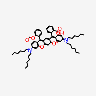 CCCCCCN(CCCCCC)c1ccc2c(-c3ccccc3OC=O)c3cc4c(-c5ccccc5C(=O)O)c5ccc(=[N+](CCCCCC)CCCCCC)cc5[o+]c4cc3oc2c1